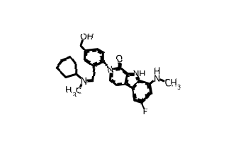 CNc1cc(F)cc2c1[nH]c1c(=O)n(-c3ccc(CO)cc3CN(C)C3CCCCC3)ccc12